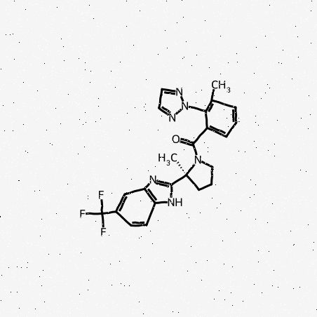 Cc1cccc(C(=O)N2CCC[C@@]2(C)c2nc3cc(C(F)(F)F)ccc3[nH]2)c1-n1nccn1